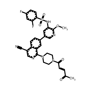 COc1ncc(-c2ccc3c(C#N)cnc(N4CCN(C(=O)C=CC(C)=O)CC4)c3c2)cc1NS(=O)(=O)c1ccc(F)cc1F